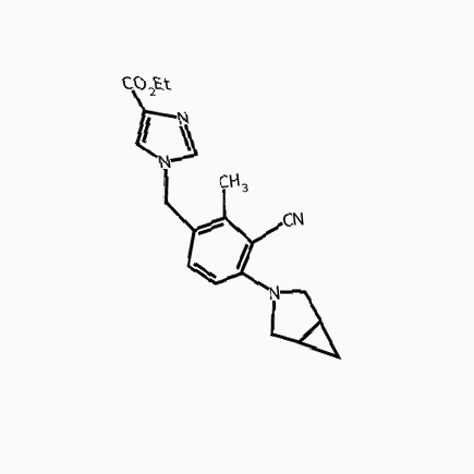 CCOC(=O)c1cn(Cc2ccc(N3CC4CC4C3)c(C#N)c2C)cn1